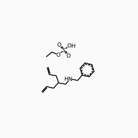 C=CCC(CC=C)CNCc1ccccc1.CCOS(=O)(=O)O